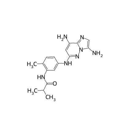 Cc1ccc(Nc2cc(N)c3ncc(N)n3n2)cc1NC(=O)C(C)C